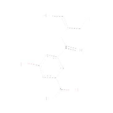 C=C(O)c1cc(O)cc(C(=C)S/C(=C\C)CC)c1